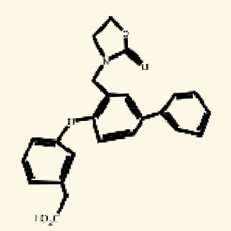 O=C(O)Cc1cccc(Oc2ccc(-c3ccccc3)cc2CN2CCOC2=O)c1